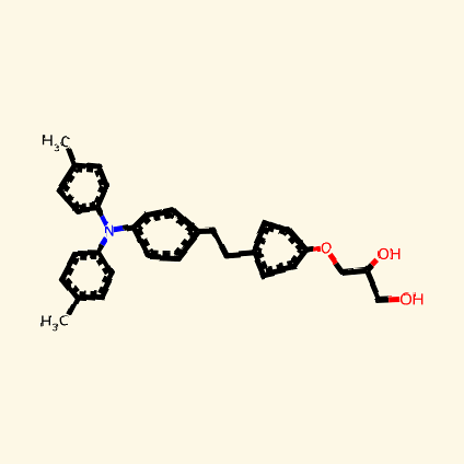 Cc1ccc(N(c2ccc(C)cc2)c2ccc(CCc3ccc(OCC(O)CO)cc3)cc2)cc1